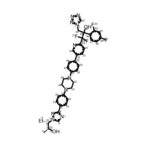 CC[C@@H]([C@H](C)O)n1cnc(-c2ccc(N3CCN(c4ccc(-c5ccc(C(F)(F)C(O)(Cn6cnnn6)c6ccc(F)cc6F)nc5)cc4)CC3)cc2)n1